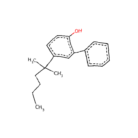 CCCCC(C)(C)c1ccc(O)c(-c2ccccc2)c1